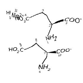 I.N[C@@H](CC(=O)O)C(=O)[O-].N[C@@H](CC(=O)O)C(=O)[O-].[Mg+2]